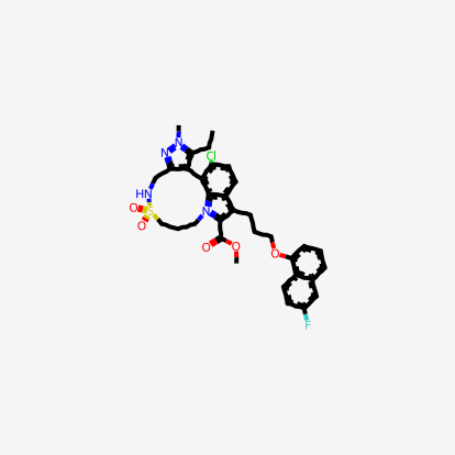 CCc1c2c(nn1C)CNS(=O)(=O)CCCn1c(C(=O)OC)c(CCCOc3cccc4cc(F)ccc34)c3ccc(Cl)c-2c31